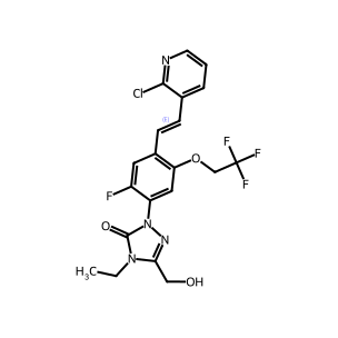 CCn1c(CO)nn(-c2cc(OCC(F)(F)F)c(/C=C/c3cccnc3Cl)cc2F)c1=O